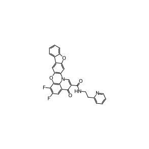 O=C(NCCc1ccccn1)c1cn2c3c(c(F)c(F)cc3c1=O)Oc1cc3c(cc1-2)oc1ccccc13